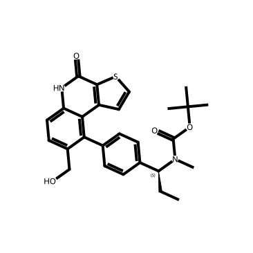 CC[C@@H](c1ccc(-c2c(CO)ccc3[nH]c(=O)c4sccc4c23)cc1)N(C)C(=O)OC(C)(C)C